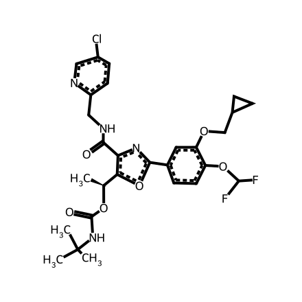 C[C@H](OC(=O)NC(C)(C)C)c1oc(-c2ccc(OC(F)F)c(OCC3CC3)c2)nc1C(=O)NCc1ccc(Cl)cn1